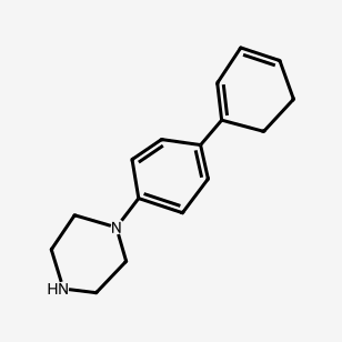 C1=CCCC(c2ccc(N3CCNCC3)cc2)=C1